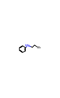 CC(C)CCNc1ccccc1